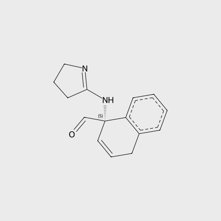 O=C[C@]1(NC2=NCCC2)C=CCc2ccccc21